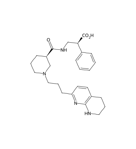 O=C(NC[C@@H](C(=O)O)c1ccccc1)[C@@H]1CCCN(CCCc2ccc3c(n2)NCCC3)C1